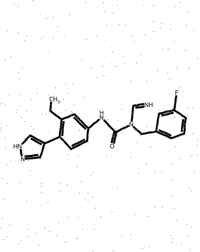 CCc1cc(NC(=O)N(C=N)Cc2cccc(F)c2)ccc1-c1cn[nH]c1